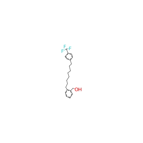 OCc1ccccc1CCCCCCCCc1ccc(C(F)(F)F)cc1